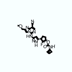 COCc1cn2c(Nc3cc([C@H]4CC[C@@H](OC(=O)NC56CC(C5)C6)[C@@H]4F)[nH]n3)ncc(C#N)c2n1